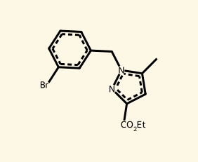 CCOC(=O)c1cc(C)n(Cc2cccc(Br)c2)n1